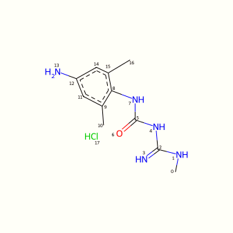 CNC(=N)NC(=O)Nc1c(C)cc(N)cc1C.Cl